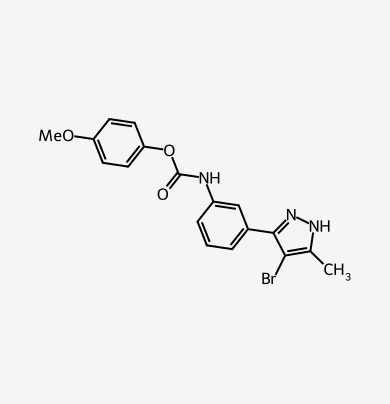 COc1ccc(OC(=O)Nc2cccc(-c3n[nH]c(C)c3Br)c2)cc1